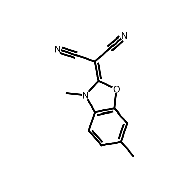 Cc1ccc2c(c1)OC(=C(C#N)C#N)N2C